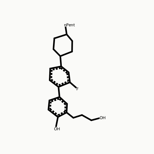 CCCCCC1CCC(c2ccc(-c3ccc(O)c(CCCO)c3)c(F)c2)CC1